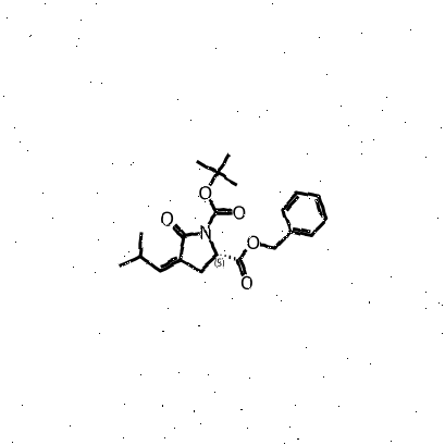 CC(C)C=C1C[C@@H](C(=O)OCc2ccccc2)N(C(=O)OC(C)(C)C)C1=O